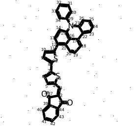 O=C1C(=Cc2ccc(-c3ccc(-c4ccc5c6c(cccc46)-c4ccccc4N5c4ccccc4)s3)s2)C(=O)c2ccccc21